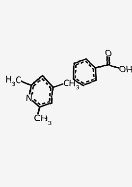 Cc1cc(C)nc(C)c1.O=C(O)c1ccccc1